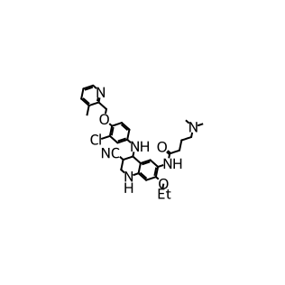 CCOc1cc2c(cc1NC(=O)CCCN(C)C)C(Nc1ccc(OCc3ncccc3C)c(Cl)c1)C(C#N)CN2